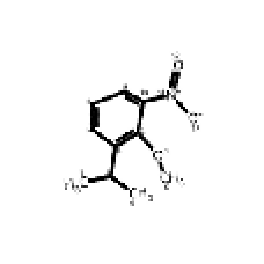 COc1c([C](C)C)cccc1[N+](=O)[O-]